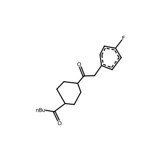 CCCCC(=O)C1CCC(C(=O)Cc2ccc(F)cc2)CC1